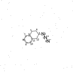 [N-]=[N+]=NC1CCc2ccccc2C1